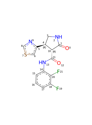 O=C1NC[C@H](c2cscn2)[C@H]1C(=O)Nc1cccc(F)c1F